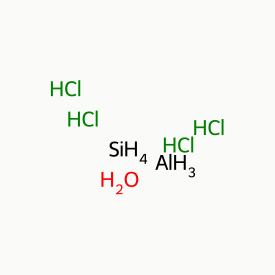 Cl.Cl.Cl.Cl.O.[AlH3].[SiH4]